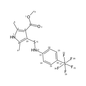 COC(=O)c1c(C)[nH]c(C)c1SNc1ccc(S(F)(F)(F)(F)F)cc1